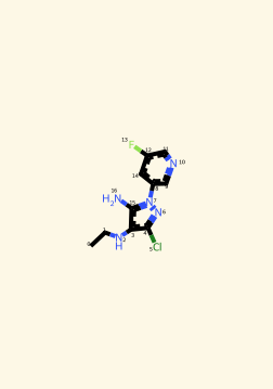 CCNc1c(Cl)nn(-c2cncc(F)c2)c1N